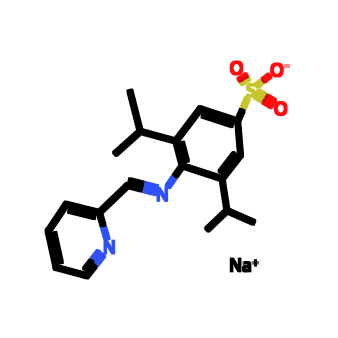 CC(C)c1cc(S(=O)(=O)[O-])cc(C(C)C)c1N=Cc1ccccn1.[Na+]